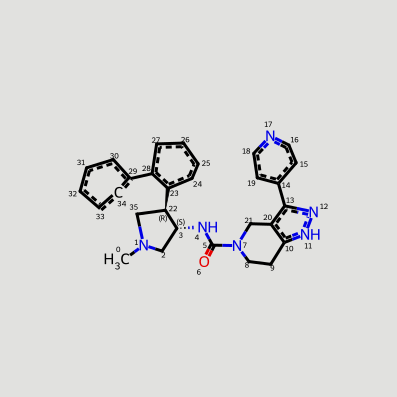 CN1C[C@@H](NC(=O)N2CCc3[nH]nc(-c4ccncc4)c3C2)[C@H](c2ccccc2-c2ccccc2)C1